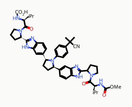 COC(=O)N[C@H](C(=O)N1CCCC1c1nc2cc([C@H]3CC[C@H](c4ccc5nc([C@@H]6CCCN6C(=O)[C@@H](NC(=O)O)C(C)C)[nH]c5c4)N3c3ccc(C(C)(C)C#N)cc3)ccc2[nH]1)C(C)C